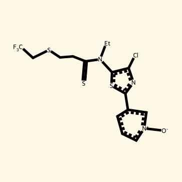 CCN(C(=S)CCSCC(F)(F)F)c1sc(-c2ccc[n+]([O-])c2)nc1Cl